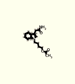 CC(=O)OCCCCn1cc(CC(N)=O)c2ccccc21